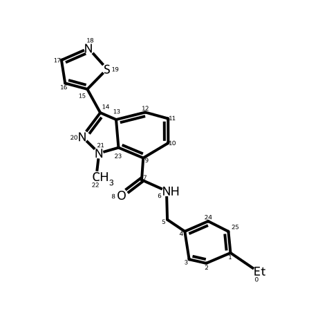 CCc1ccc(CNC(=O)c2cccc3c(-c4ccns4)nn(C)c23)cc1